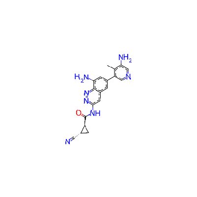 Cc1c(N)cncc1-c1cc(N)c2nnc(NC(=O)[C@H]3C[C@@H]3C#N)cc2c1